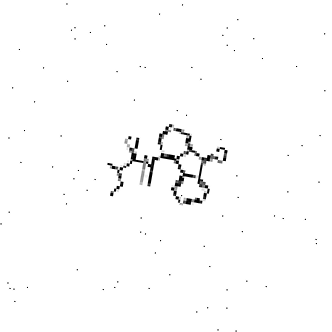 CCC(C)C(=O)Nc1cccc2c1-c1ccccc1C2=O